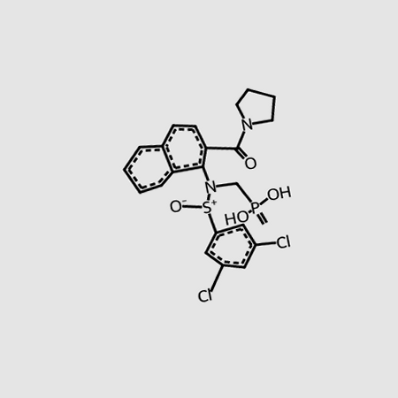 C=P(O)(O)CN(c1c(C(=O)N2CCCC2)ccc2ccccc12)[S+]([O-])c1cc(Cl)cc(Cl)c1